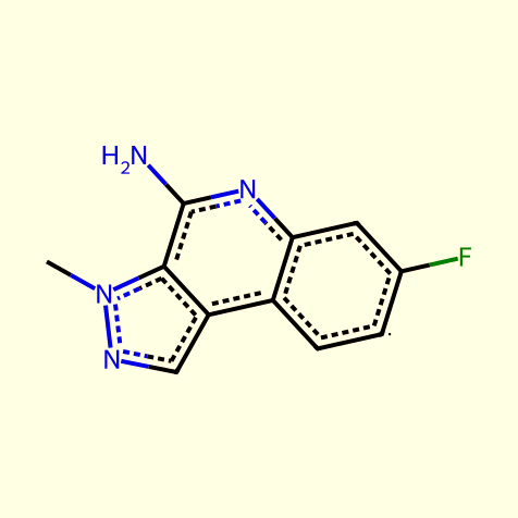 Cn1ncc2c3c[c]c(F)cc3nc(N)c21